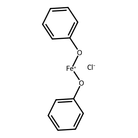 [Cl-].c1ccc([O][Fe+][O]c2ccccc2)cc1